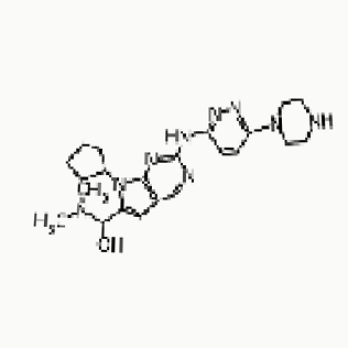 CN(C)C(O)c1cc2cnc(Nc3ccc(N4CCNCC4)nn3)nc2n1C1CCCC1